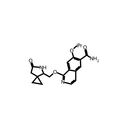 CC(C)Oc1cc2c(OCC3NC(=O)CC34CC4)nccc2cc1C(N)=O